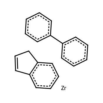 C1=Cc2ccccc2C1.[Zr].c1ccc(-c2ccccc2)cc1